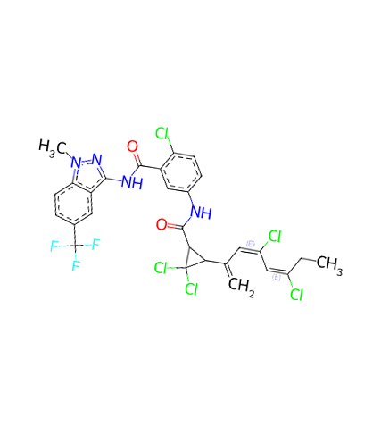 C=C(/C=C(Cl)\C=C(\Cl)CC)C1C(C(=O)Nc2ccc(Cl)c(C(=O)Nc3nn(C)c4ccc(C(F)(F)F)cc34)c2)C1(Cl)Cl